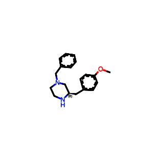 COc1ccc(C[C@@H]2CN(Cc3ccccc3)CCN2)cc1